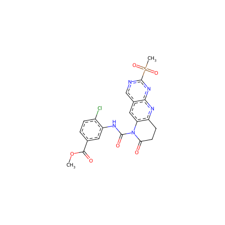 COC(=O)c1ccc(Cl)c(NC(=O)N2C(=O)CCc3nc4nc(S(C)(=O)=O)ncc4cc32)c1